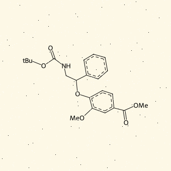 COC(=O)c1ccc(OC(CNC(=O)OC(C)(C)C)c2ccccc2)c(OC)c1